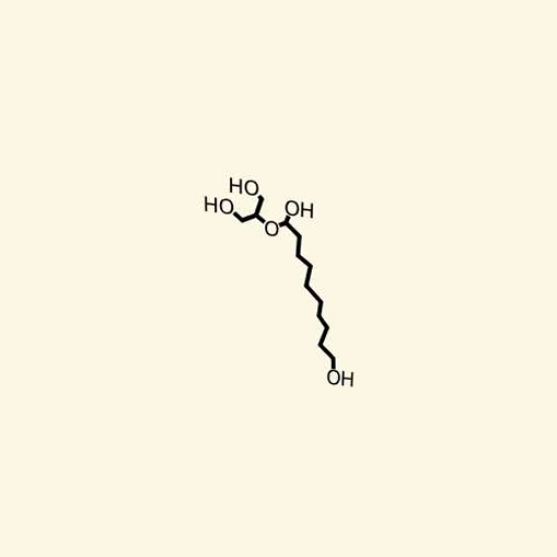 OCCCCCCCCCC(O)OC(CO)CO